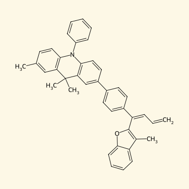 C=C/C=C(/c1ccc(-c2ccc3c(c2)C(C)(C)c2cc(C)ccc2N3c2ccccc2)cc1)c1oc2ccccc2c1C